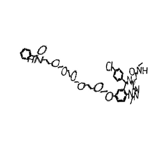 CCNC(=O)C[C@@H]1N=C(c2ccc(Cl)cc2)c2cc(OCCOCCOCCOCCOCCOCCNC(=O)c3ccccc3)ccc2-n2c(C)nnc21